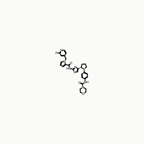 O=C(Nc1nc([C@H]2CCCN2c2ccc(NC(=O)N3CCOCC3)cc2)cs1)c1cccn1Cc1ccnc(F)c1